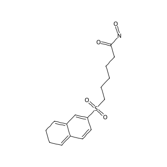 O=NC(=O)CCCCCS(=O)(=O)c1ccc2c(c1)=CCCC=2